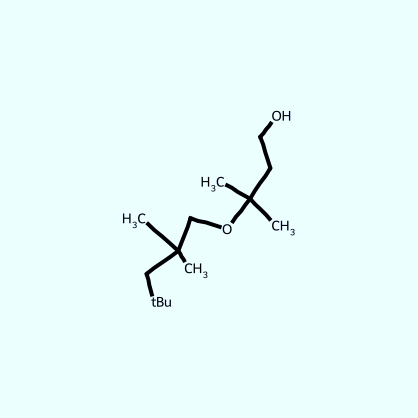 CC(C)(C)CC(C)(C)COC(C)(C)CCO